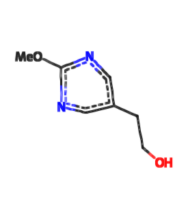 COc1ncc(CCO)cn1